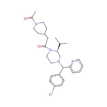 CC(=O)N1CCC(CC(=O)N2CCN(C(c3ccc(Cl)cc3)c3ccccn3)C[C@@H]2C(C)C)CC1